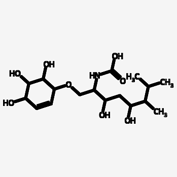 CC(C)C(C)C(O)CC(O)C(COC1C=CC(O)C(O)C1O)NC(=O)O